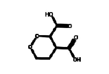 O=C(O)C1CCOOC1C(=O)O